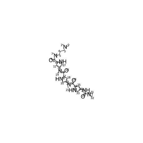 CN(C)CCCN(C)C(=O)c1cc(N(C)C(=O)c2cc(N(C)C(=O)c3cc(NC(=O)N4CC4)c[nH]3)c[nH]2)c[nH]1